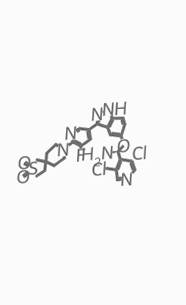 N[C@@H](Oc1ccc2[nH]nc(-c3cnc(N4CCC5(CC4)CCS(=O)(=O)C5)c(F)c3)c2c1)c1c(Cl)cncc1Cl